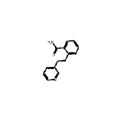 NC(=O)c1ccccc1CCc1cccnc1